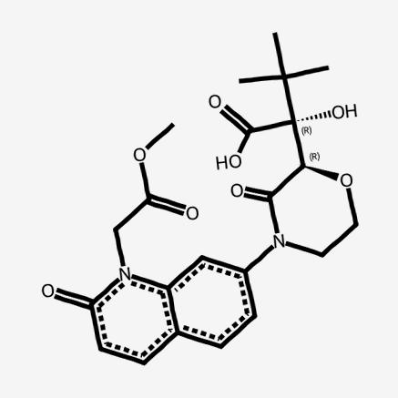 COC(=O)Cn1c(=O)ccc2ccc(N3CCO[C@H]([C@@](O)(C(=O)O)C(C)(C)C)C3=O)cc21